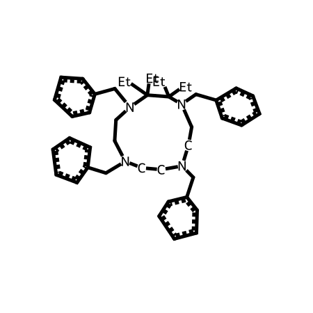 CCC1(CC)N(Cc2ccccc2)CCN(Cc2ccccc2)CCN(Cc2ccccc2)CCN(Cc2ccccc2)C1(CC)CC